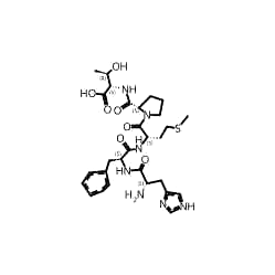 CSCC[C@H](NC(=O)[C@H](Cc1ccccc1)NC(=O)[C@@H](N)Cc1c[nH]cn1)C(=O)N1CCC[C@H]1C(=O)N[C@H](C(=O)O)[C@@H](C)O